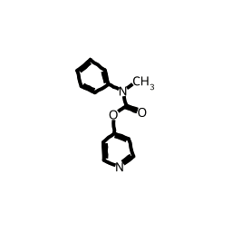 CN(C(=O)Oc1ccncc1)c1ccccc1